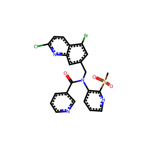 CS(=O)(=O)c1ncccc1N(Cc1cc(Br)c2ccc(Cl)nc2c1)C(=O)c1cccnc1